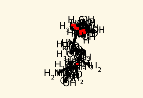 CC[C@H](C)[C@H](NC(=O)C(CCC(N)=O)NC(=O)[C@H](C)NC(=O)C(CCCCN)NC(=O)[C@@H]1CCCN1C(=O)C(C)NC(=O)[C@H](CC(C)C)NC(=O)C(CCCCNNC(Cc1ccccc1)C(=O)N[C@@H](CO)C(=O)NC(CCC(=O)O)C(=O)N[C@@H](CO)C(=O)N[C@H](C(=O)N[C@@H](CC(N)=O)C(=O)NC(C=O)CO)[C@@H](C)O)NC)C(=O)NC(CCCCN)C(=O)N[C@@H](CCC(=O)O)C(N)=O